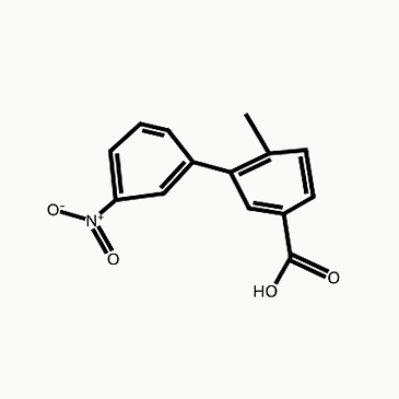 Cc1ccc(C(=O)O)cc1-c1cccc([N+](=O)[O-])c1